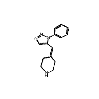 C(=C1CCNCC1)c1cnnn1-c1ccccc1